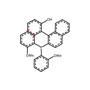 COc1ccccc1P(c1ccccc1OC)c1ccc2ccccc2c1-c1ccccc1O